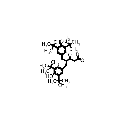 CC(C)(C)c1cc(CC(Cc2cc(C(C)(C)C)c(O)c(C(C)(C)C)c2)C(=O)CC(=O)O)cc(C(C)(C)C)c1O